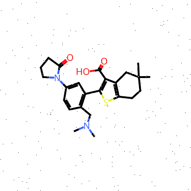 CN(C)Cc1ccc(N2CCCC2=O)cc1-c1sc2c(c1C(=O)O)CC(C)(C)CC2